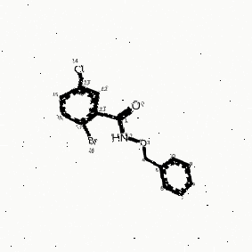 O=C(NOCc1ccccc1)c1cc(Cl)ccc1Br